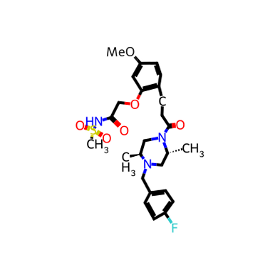 COc1ccc(CCC(=O)N2C[C@H](C)N(Cc3ccc(F)cc3)C[C@H]2C)c(OCC(=O)NS(C)(=O)=O)c1